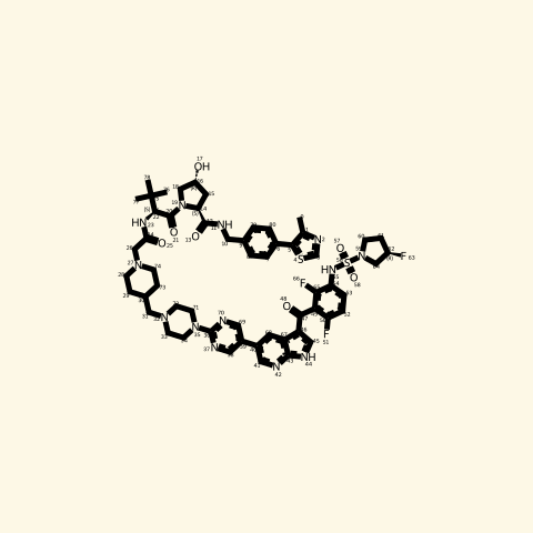 Cc1ncsc1-c1ccc(CNC(=O)[C@@H]2C[C@@H](O)CN2C(=O)[C@@H](NC(=O)CN2CCC(CN3CCN(c4ncc(-c5cnc6[nH]cc(C(=O)c7c(F)ccc(NS(=O)(=O)N8CC[C@@H](F)C8)c7F)c6c5)cn4)CC3)CC2)C(C)(C)C)cc1